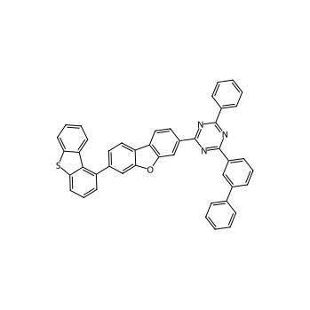 c1ccc(-c2cccc(-c3nc(-c4ccccc4)nc(-c4ccc5c(c4)oc4cc(-c6cccc7sc8ccccc8c67)ccc45)n3)c2)cc1